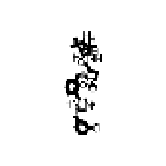 C[C@@H]1[C@@H](NC(=O)C2CCS(=O)(=O)N2Cc2cccc(CN[C@@H](Cc3cccc(Cl)c3)CN(C)C)c2)C[C@H]2C[C@@H]1C2(C)C